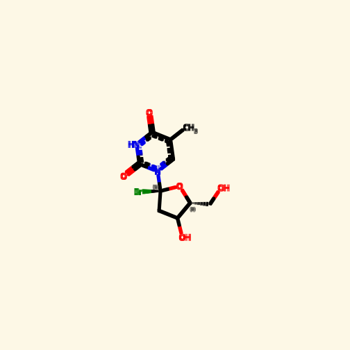 Cc1cn([C@@]2(Br)CC(O)[C@@H](CO)O2)c(=O)[nH]c1=O